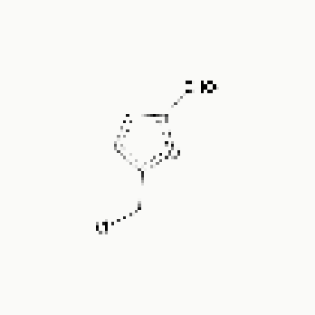 O=[C]c1ccc(CCl)o1